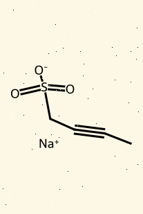 CC#CCS(=O)(=O)[O-].[Na+]